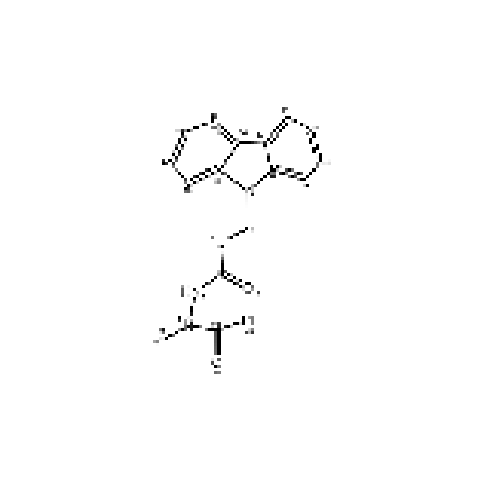 CCN(NC(=O)OCC1c2ccccc2-c2ccccc21)C(=O)Cl